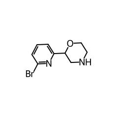 Brc1cccc(C2CNCCO2)n1